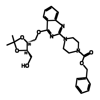 CC1(C)O[C@H](CO)[C@@H](COc2nc(N3CCN(C(=O)OCc4ccccc4)CC3)nc3ccccc23)O1